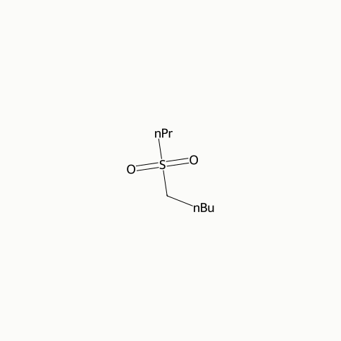 [CH2]CCS(=O)(=O)CCCCC